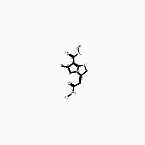 CCNC(=O)/C=C1/CSC2=C(C(=O)OC(C)C)C(C)CN21